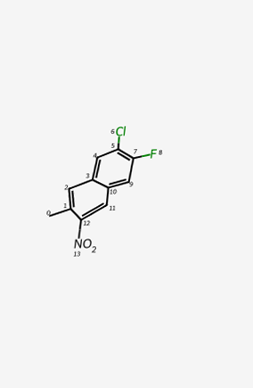 Cc1cc2cc(Cl)c(F)cc2cc1[N+](=O)[O-]